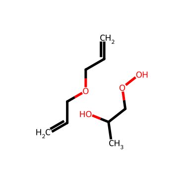 C=CCOCC=C.CC(O)COO